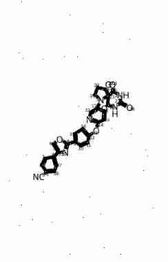 N#Cc1ccc(-c2coc(-c3ccc(Oc4ccc(N5CCC(=O)C56C(=O)NC(=O)NC6=O)cn4)cc3)n2)cc1